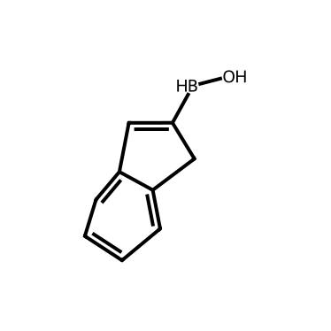 OBC1=Cc2ccccc2C1